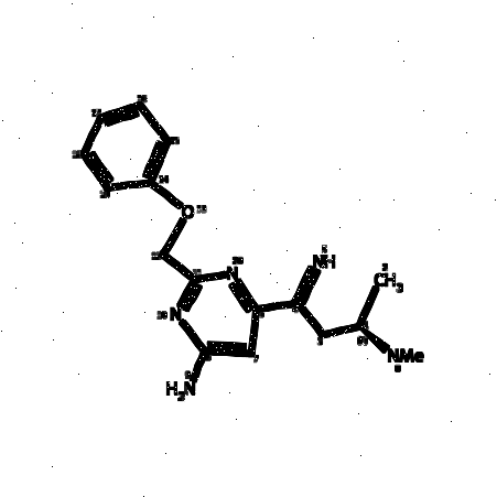 CN[C@H](C)CC(=N)c1cc(N)nc(COc2ccccc2)n1